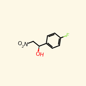 O=[N+]([O-])C[C@H](O)c1ccc(F)cc1